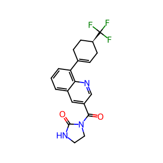 O=C1NCCN1C(=O)c1cnc2c(C3=CC[C@H](C(F)(F)F)CC3)cccc2c1